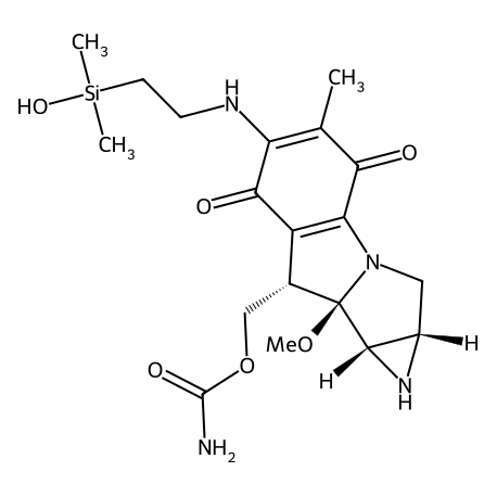 CO[C@@]12[C@H](COC(N)=O)C3=C(C(=O)C(C)=C(NCC[Si](C)(C)O)C3=O)N1C[C@@H]1N[C@@H]12